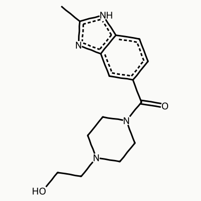 Cc1nc2cc(C(=O)N3CCN(CCO)CC3)ccc2[nH]1